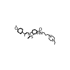 C=C1Sc2cc(C(=O)NCCCN3CCN(CC)CC3)ccc2N1/C=C(\C)c1ccc(OC)cc1